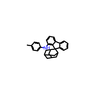 Cc1ccc(Nc2cccc3c2C2(c4ccccc4-3)C3CC4CC(C3)CC2C4)cc1